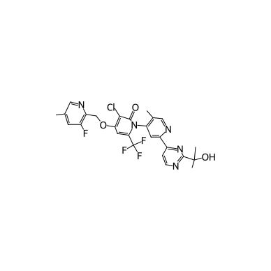 Cc1cnc(COc2cc(C(F)(F)F)n(-c3cc(-c4ccnc(C(C)(C)O)n4)ncc3C)c(=O)c2Cl)c(F)c1